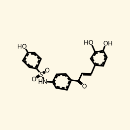 O=C(C=Cc1ccc(O)c(O)c1)c1ccc(NS(=O)(=O)c2ccc(O)cc2)cc1